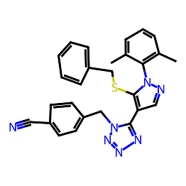 Cc1cccc(C)c1-n1ncc(-c2nnnn2Cc2ccc(C#N)cc2)c1SCc1ccccc1